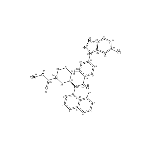 Cc1cccc2ccnc(N(C(=O)c3ccc(-n4nnc5ccc(Cl)nc54)cc3F)[C@@H]3CCCN(C(=O)OC(C)(C)C)C3)c12